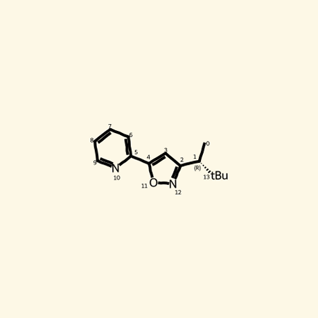 C[C@@H](c1cc(-c2ccccn2)on1)C(C)(C)C